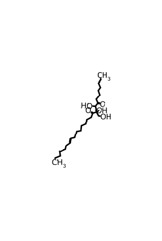 CCCCCCC=CCCCCCCCC(=O)C(O)(CO)C(O)C(=O)CCCCCCC